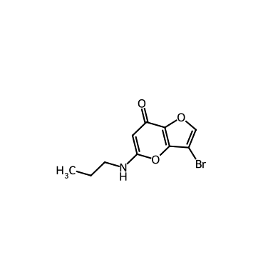 CCCNc1cc(=O)c2occ(Br)c2o1